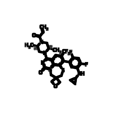 C=CC(=O)N1C[C@H](C)N(c2nc(=O)n3c4c(c(-c5cc(NC6CC6)c(F)cc5F)c(C(F)(F)F)cc24)SCC2(COC2)C3)C[C@H]1C